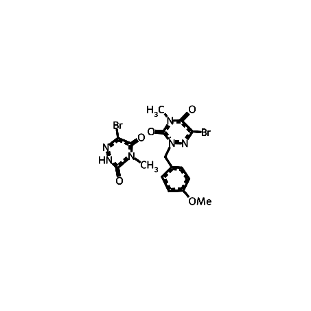 COc1ccc(Cn2nc(Br)c(=O)n(C)c2=O)cc1.Cn1c(=O)[nH]nc(Br)c1=O